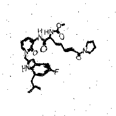 COC(=O)NC(CC/C=C/C(=O)N1CCCC1)C(=O)Nc1cccn(Cc2cc3cc(F)cc(CC(C)C)c3[nH]2)c1=O